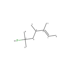 C/C=C(\C)C(C)CC(C)(C)F